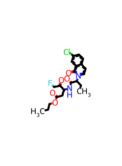 CCCOC(=O)CC(NC(=O)C(CC)n1ccc2ccc(Cl)cc2c1=O)C(=O)CF